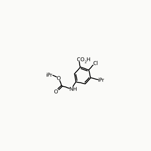 CC(C)OC(=O)Nc1cc(C(=O)O)c(Cl)c(C(C)C)c1